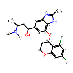 Cc1nc2cc(C(O)CC(C)N(C)C)cc(O[C@H]3CCOc4cc(F)cc(F)c43)c2[nH]1